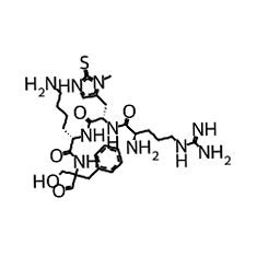 Cn1c(C[C@H](NC(=O)[C@H](N)CCCNC(=N)N)C(=O)N[C@@H](CCCCN)C(=O)NC(C=O)(CO)Cc2ccccc2)c[nH]c1=S